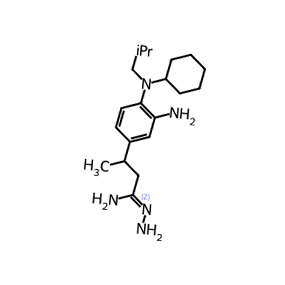 CC(C)CN(c1ccc(C(C)C/C(N)=N/N)cc1N)C1CCCCC1